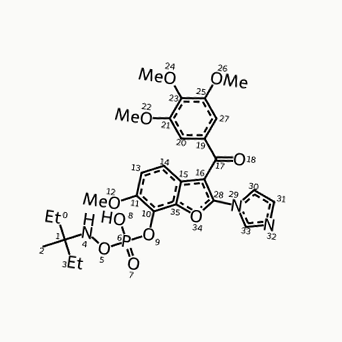 CCC(C)(CC)NOP(=O)(O)Oc1c(OC)ccc2c(C(=O)c3cc(OC)c(OC)c(OC)c3)c(-n3ccnc3)oc12